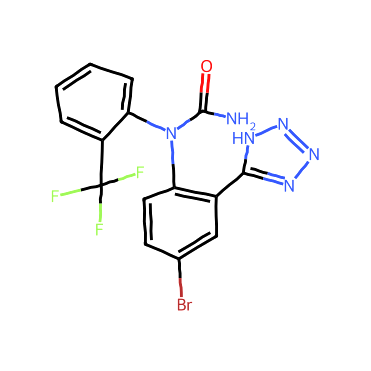 NC(=O)N(c1ccc(Br)cc1-c1nnn[nH]1)c1ccccc1C(F)(F)F